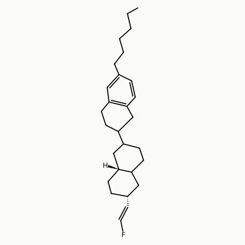 CCCCCCc1ccc2c(c1)CCC(C1CCC3C[C@H](C=CF)CC[C@@H]3C1)C2